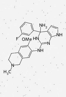 COc1cc2c(cc1NC1=Nc3[nH]ccc3C(N)(c3cccc(F)c3)N1)CN(C)CC2